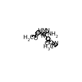 C=CC(=O)N1CCC[C@@H](N2N=C(C3=CC(Cl)=C(OCc4nccn4C)CC3)C3=C(N)N=CNC32)C1